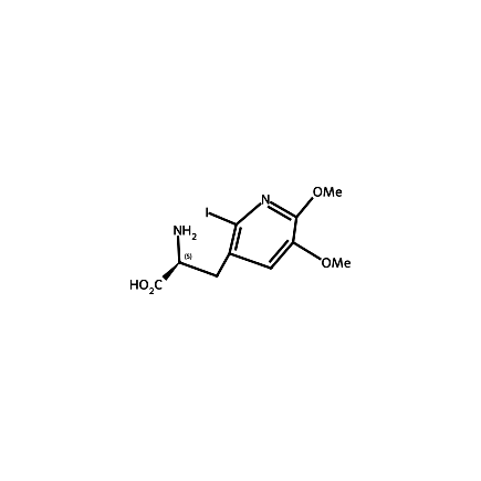 COc1cc(C[C@H](N)C(=O)O)c(I)nc1OC